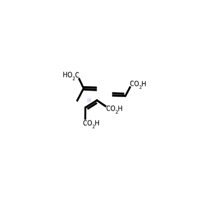 C=C(C)C(=O)O.C=CC(=O)O.O=C(O)/C=C\C(=O)O